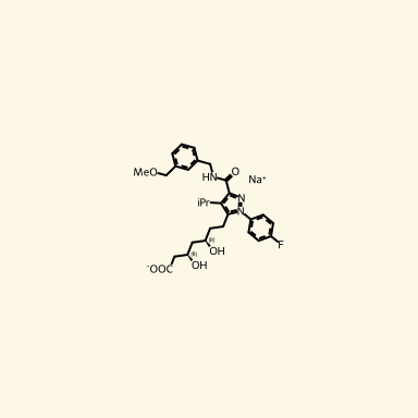 COCc1cccc(CNC(=O)c2nn(-c3ccc(F)cc3)c(CC[C@@H](O)C[C@@H](O)CC(=O)[O-])c2C(C)C)c1.[Na+]